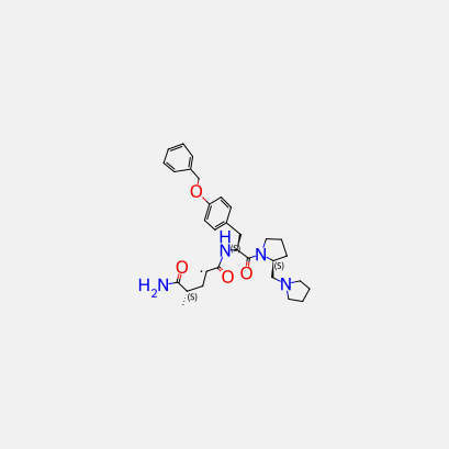 C[C@@H](C[CH]C(=O)N[C@@H](Cc1ccc(OCc2ccccc2)cc1)C(=O)N1CCC[C@H]1CN1CCCC1)C(N)=O